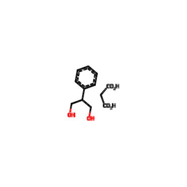 O=C(O)CC(=O)O.OCC(CO)c1ccccc1